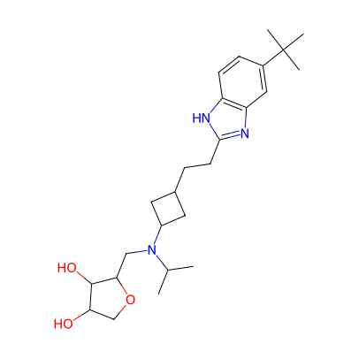 CC(C)N(CC1OCC(O)C1O)C1CC(CCc2nc3cc(C(C)(C)C)ccc3[nH]2)C1